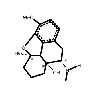 CCN(C)[C@H]1Cc2ccc(OC)c3c2C2[C@@H](CCC[C@@]21O)O3